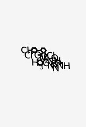 C[C@H](Nc1ncnc2[nH]ccc(=O)c12)c1c(Cl)c2cccc(-c3ccc(Cl)c(Cl)c3)c2c(=O)n1-c1ccccc1